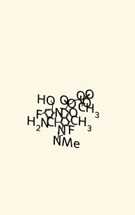 CNC1CN(c2c(F)c(C)c3c(=O)c(C(=O)OCc4oc(=O)oc4C)cn(-c4cc(N)c(F)cc4CO)c3c2Cl)C1